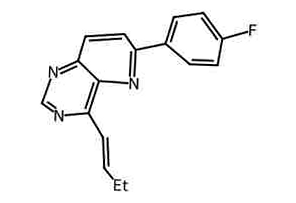 CC/C=C/c1ncnc2ccc(-c3ccc(F)cc3)nc12